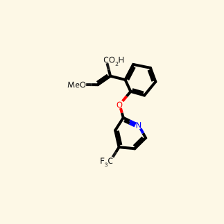 COC=C(C(=O)O)c1ccccc1Oc1cc(C(F)(F)F)ccn1